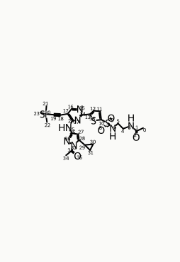 CC(=O)NCCNS(=O)(=O)c1ccc(-c2ncc(C#C[Si](C)(C)C)c(Nc3cc(C4CC4)n(C(C)=O)n3)n2)s1